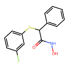 O=C(NO)C(Sc1cccc(F)c1)c1ccccc1